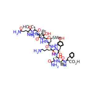 CC[C@H](C)[C@H](NC(=O)[C@H](CCC(N)=O)NC(=O)[C@H](Cc1ccc(O)cc1)NC(=O)[C@H](CCCCN)NC(=O)[C@H](CCSC)NC(=O)[C@@H](NC(=O)[C@H](CC(C)C)NC(=O)[C@H](CC(=O)O)NC(=O)[C@@H](N)CCC(N)=O)[C@@H](C)O)C(=O)N[C@@H](Cc1ccccc1)C(=O)O